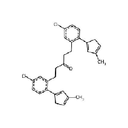 CC1=CCC(c2ccc(Cl)cc2CCC(=O)CCc2cc(Cl)ccc2C2=CC(C)=CC2)=C1